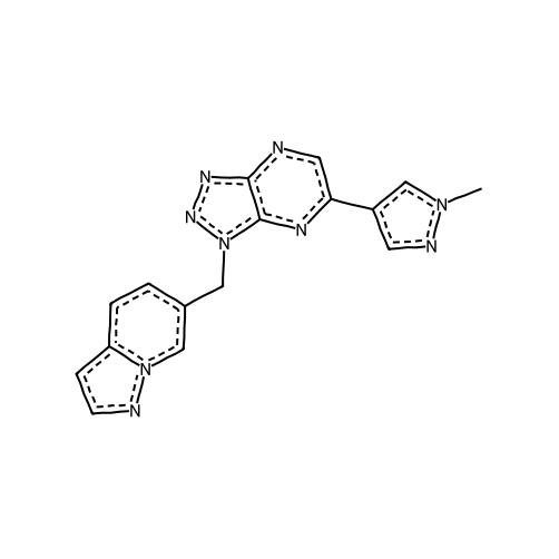 Cn1cc(-c2cnc3nnn(Cc4ccc5ccnn5c4)c3n2)cn1